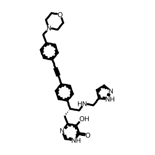 O=c1[nH]cnc(C[C@@H](CNCc2ccn[nH]2)c2ccc(C#Cc3ccc(CN4CCOCC4)cc3)cc2)c1O